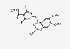 CCOC(=O)C(=O)c1c(F)cc(Oc2nc(C)nc3cc(OC)c(OC)cc23)cc1F